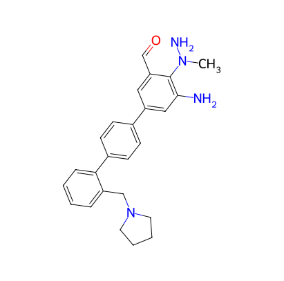 CN(N)c1c(N)cc(-c2ccc(-c3ccccc3CN3CCCC3)cc2)cc1C=O